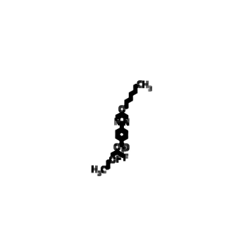 CCCCCCCOc1cnc(-c2ccc(C(=O)OC(COCCC)C(F)(F)F)cc2)nc1